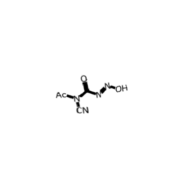 CC(=O)N(C#N)C(=O)N=NO